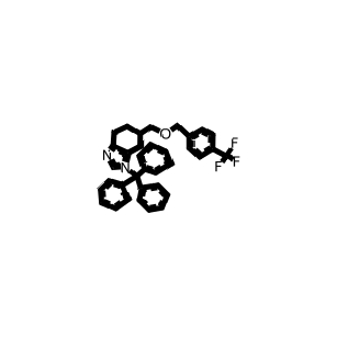 FC(F)(F)c1ccc(COCC2CCc3ncn(C(c4ccccc4)(c4ccccc4)c4ccccc4)c3C2)cc1